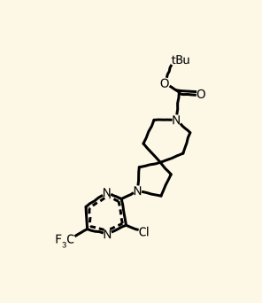 CC(C)(C)OC(=O)N1CCC2(CC1)CCN(c1ncc(C(F)(F)F)nc1Cl)C2